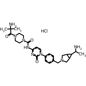 CC(N)C1C2CN(Cc3ccc(-n4ccc(NC(=O)N5CCN(C(=O)C(C)(C)N)CC5)nc4=O)cc3)CC21.Cl